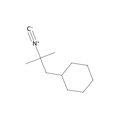 [C-]#[N+]C(C)(C)CC1CCCCC1